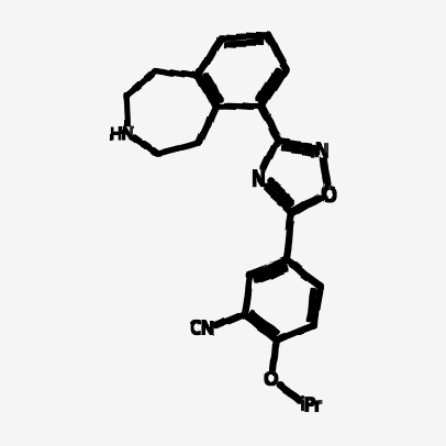 [C-]#[N+]c1cc(-c2nc(-c3cccc4c3CCNCC4)no2)ccc1OC(C)C